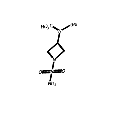 CC(C)(C)N(C(=O)O)C1CN(S(N)(=O)=O)C1